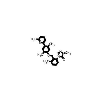 Cc1cccc(-c2cc(C)c(OCc3c(C)cccc3-n3nnn(C)c3=O)cc2C)n1